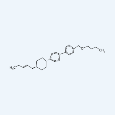 CCC=CC[C@H]1CC[C@H](c2ccc(-c3ccc(COCCCC)cc3)cc2)CC1